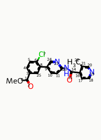 COC(=O)c1ccc(Cl)c(-c2ccc(NC(=O)c3ccncc3C)nc2)c1